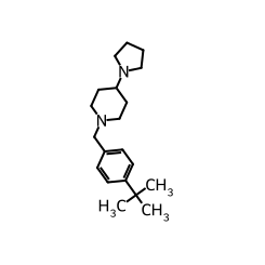 CC(C)(C)c1ccc(CN2CCC(N3CCCC3)CC2)cc1